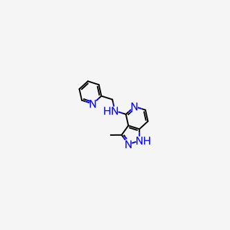 Cc1n[nH]c2ccnc(NCc3ccccn3)c12